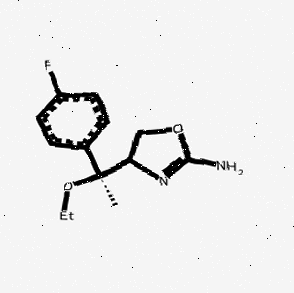 CCO[C@@](C)(c1ccc(F)cc1)C1COC(N)=N1